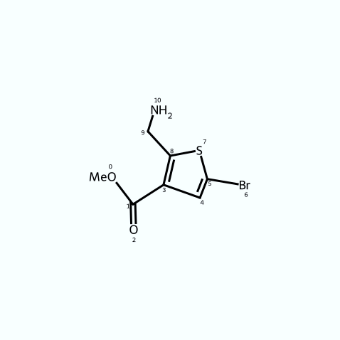 COC(=O)c1cc(Br)sc1CN